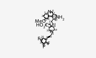 COc1ccc2ncc(CN)c([C@@H](F)CCC3(CC(=O)O)CCN(CC#Cc4cc(F)cc(F)c4F)CC3)c2c1